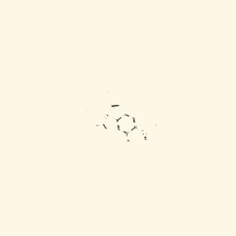 COC(=O)C(C)(C(=O)OC)c1ccc([N+](=O)[O-])c(C)c1